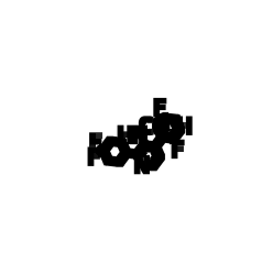 O=C(O)Nc1c(-c2cc(F)ccc2F)ccnc1C1CCC(F)(F)CC1